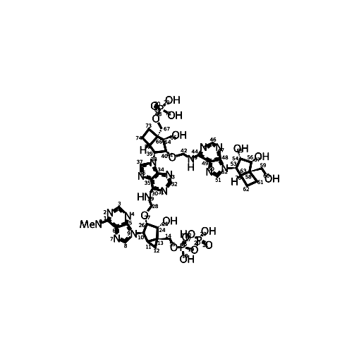 CNc1ncnc2c1ncn2[C@@H]1C2C[C@@]2(COP(=O)(O)OP(=O)(O)O)[C@@H](O)[C@H]1OCNc1ncnc2c1ncn2[C@H]1[C@H](OCNc2ncnc3c2ncn3[C@H]2[C@H](O)[C@H](O)[C@]3(CO)CC[C@H]23)[C@H](O)[C@]2(COP(=O)(O)O)CC[C@H]12